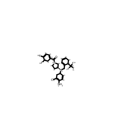 NC1=C(Cl)CC(N(CC2=CC=CCC2C(F)(F)F)[C@H]2CCN(C(=O)C3=CC=C(F)C(F)C3)C2)C=C1